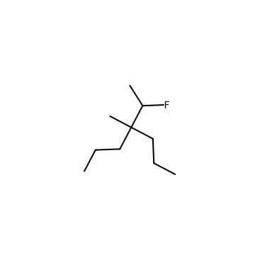 CCCC(C)(CCC)C(C)F